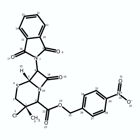 C[C@@]1(Cl)CS[C@@H]2C(N3C(=O)c4ccccc4C3=O)C(=O)N2C1C(=O)OCc1ccc([N+](=O)[O-])cc1